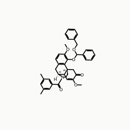 COC1=CC2[C@@H]3Cc4ccc(OC)c(OC(OCc5ccccc5)c5ccccc5)c4[C@]2(CCN3C(=O)c2cc(C)cc(C)c2)CC1=O